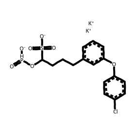 O=[PH]([O-])OC(CCCc1cccc(Oc2ccc(Cl)cc2)c1)S(=O)(=O)[O-].[K+].[K+]